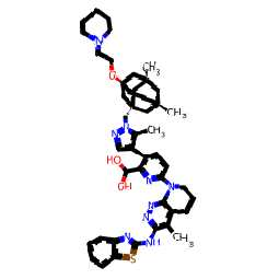 Cc1c(Nc2nc3ccccc3s2)nnc2c1CCCN2c1ccc(-c2cnn(C[C@]34C[C@]5(C)C[C@](C)(C3)C[C@@](OCCN3CCCCC3)(C5)C4)c2C)c(C(O)O)n1